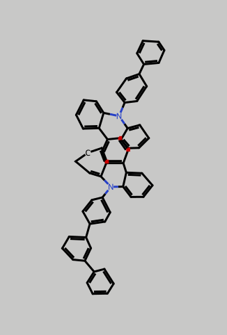 C1=CC(N(c2ccc(-c3cccc(-c4ccccc4)c3)cc2)c2ccccc2-c2ccc(-c3ccccc3N(c3ccccc3)c3ccc(-c4ccccc4)cc3)cc2)=CCC1